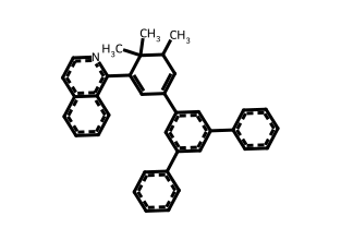 CC1C=C(c2cc(-c3ccccc3)cc(-c3ccccc3)c2)C=C(c2nccc3ccccc23)C1(C)C